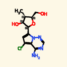 C[C@H]1[C@H](O)[C@H](c2cc(Cl)c3c(N)ncnn23)O[C@@H]1CO